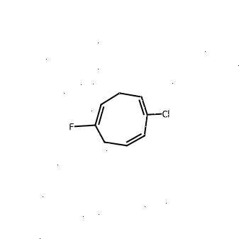 F/C1=C/C/C=C(/Cl)C=CC1